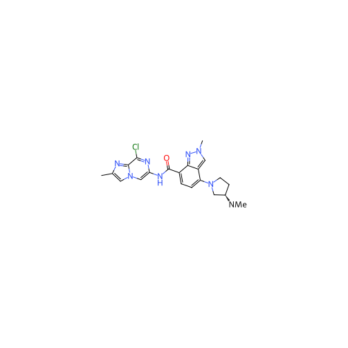 CN[C@@H]1CCN(c2ccc(C(=O)Nc3cn4cc(C)nc4c(Cl)n3)c3nn(C)cc23)C1